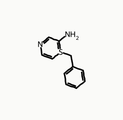 NC1=S(Cc2ccccc2)C=CN=C1